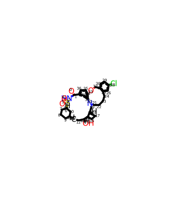 O=C1NS(=O)(=O)[C@@H]2CCC[C@@H](CC[C@H](O)[C@@H]3CC[C@H]3CN3CCCCc4cc(Cl)ccc4COc4ccc1cc43)C2